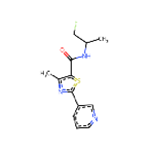 Cc1nc(-c2cccnc2)sc1C(=O)NC(C)CF